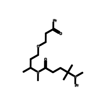 CC(C)C(=O)CCOCCC(C)N(C)C(=O)CCC(C)(C)N(C)C(C)C